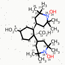 CC1(C)CC([C@@H]2CC(C(=O)O)CC[C@]2(C(=O)O)C2CC(C)(C)N(O)C(C)(C)C2)CC(C)(C)N1O